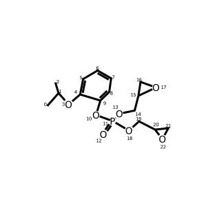 CC(C)Oc1ccccc1OP(=O)(OCC1CO1)OCC1CO1